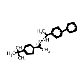 C/C(=N\NC(C)c1ccc(-c2ccccc2)cc1)C1C=CC(C(C)(C)C)=CC1